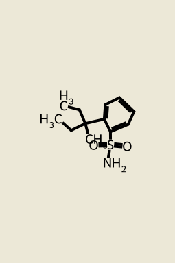 CCC(C)(CC)c1ccccc1S(N)(=O)=O